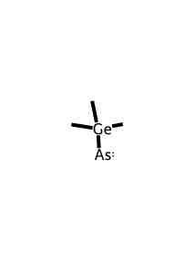 [CH3][Ge]([CH3])([CH3])[As]